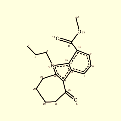 CCCn1c2c(c3cccc(C(=O)OC)c31)C(=O)CCCC2